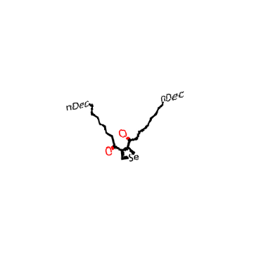 CCCCCCCCCCCCCCCCCC(=O)c1c[se]cc1C(=O)CCCCCCCCCCCCCCCCC